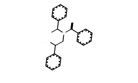 O=C(O)C(CN(C(=O)c1ccccc1)C(c1ccccc1)C(F)(F)F)c1ccccc1